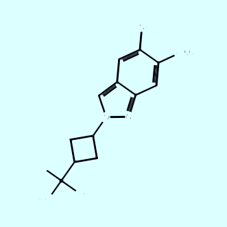 COc1cc2nn(C3CC(C(C)(C)O)C3)cc2cc1[N+](=O)[O-]